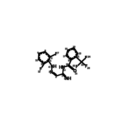 N=C(/C=N\Nc1c(F)cccc1F)NC(=O)c1ccccc1C(F)(F)F